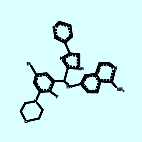 CCc1cc(C(Nc2ccc3c(N)nccc3c2)c2nc(-c3cccnc3)c[nH]2)c(F)c(N2CCOCC2)c1